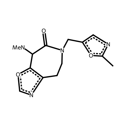 CNC1C(=O)N(Cc2cnc(C)o2)CCc2ncoc21